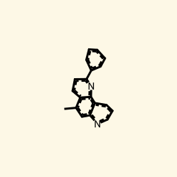 Cc1cc2ncccc2c2nc(-c3ccccc3)ccc12